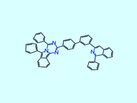 c1ccc(-c2nc(-c3cccc(-c4ccc(-c5nc(-c6ccccc6)n6c(-c7ccccc7)c7ccccc7c6n5)cc4)c3)cc3ccccc23)cc1